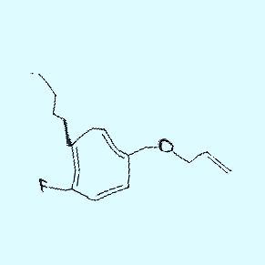 [CH2]CCc1cc(OCC=C)ccc1F